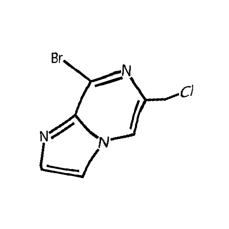 Clc1cn2ccnc2c(Br)n1